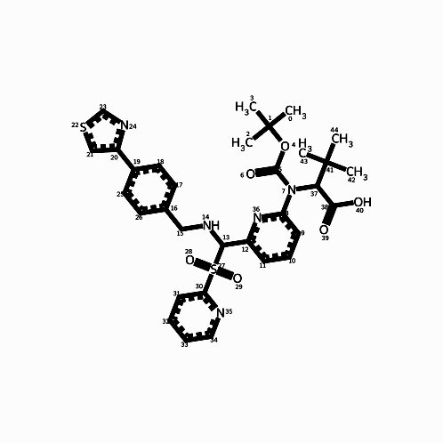 CC(C)(C)OC(=O)N(c1cccc(C(NCc2ccc(-c3cscn3)cc2)S(=O)(=O)c2ccccn2)n1)C(C(=O)O)C(C)(C)C